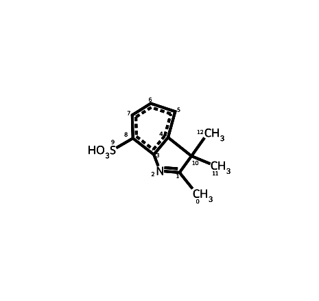 CC1=Nc2c(cccc2S(=O)(=O)O)C1(C)C